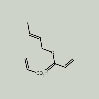 C=CC(=O)O.C=CC(=O)OCC=CC